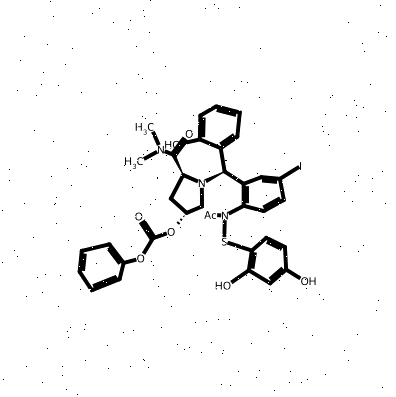 CC(=O)N(Sc1ccc(O)cc1O)c1ccc(I)cc1[C@H](c1ccccc1O)N1C[C@H](OC(=O)Oc2ccccc2)C[C@H]1C(=O)N(C)C